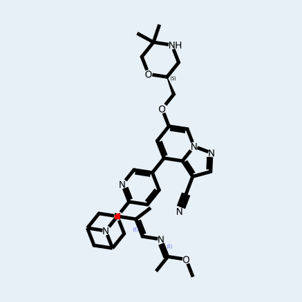 CO/C(C)=N/C=C(\C)CN1C2CC1CN(c1ccc(-c3cc(OC[C@@H]4CNC(C)(C)CO4)cn4ncc(C#N)c34)cn1)C2